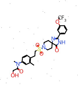 Cc1cc(N(C)C(=O)CO)ccc1CCS(=O)(=O)N1CCC2(CC1)N=C(c1cccc(OC(F)(F)F)c1)NC2=O